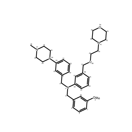 COc1cccc(CN(Cc2cccc(N3CCN(C)CC3)c2)c2cccc(COCCN3CCOCC3)c2)c1